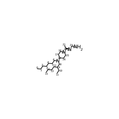 CCCCCCCN(CC(CC)CCCC)C1CCN(/C(C)=N/CN)CC1